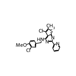 COc1ccc(CNc2nc(-c3ccccn3)nc3sc(C)c(Cl)c23)cc1Cl